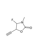 C#CC1OC(=O)N(C)C1F